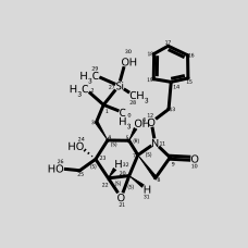 CC(C)(C[C@H]1[C@@H](O)[C@@]2(CC(=O)N2OCc2ccccc2)[C@@H]2O[C@@H]2[C@@]1(O)CO)[Si](C)(C)O